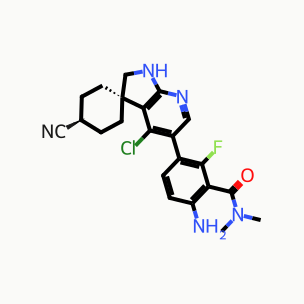 CN(C)C(=O)c1c(N)ccc(-c2cnc3c(c2Cl)[C@]2(CC[C@H](C#N)CC2)CN3)c1F